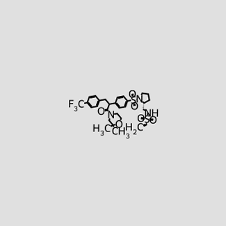 C=CS(=O)(=O)NC[C@H]1CCCN1S(=O)(=O)c1ccc(C(Cc2ccc(C(F)(F)F)cc2)C(=O)N2CCOC(C)(C)C2)cc1